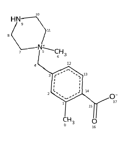 Cc1cc(C[N+]2(C)CCNCC2)ccc1C(=O)[O-]